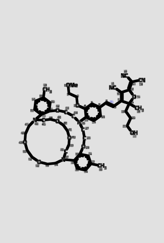 COCCOc1cc(/C=C/C2=C(C#N)C(=C(C#N)C#N)OC2(C)CCCO)ccc1N1CCOc2cc(C)ccc2N2CCOCCOCCN(CCOCCOCC2)c2ccc(C)cc2OCC1